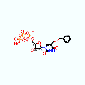 O=c1[nH]c(=O)n([C@H]2C[C@@H](O)[C@@H](COP(=O)(O)OP(=O)(O)OP(=O)(O)O)O2)cc1COCc1ccccc1